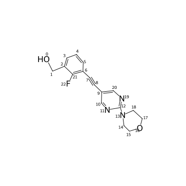 OCc1cccc(C#Cc2cnc(N3CCOCC3)nc2)c1F